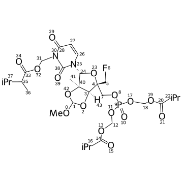 COC1O[C@@H]2[C@@](CF)(COP(=O)(OCOC(=O)C(C)C)OCOC(=O)C(C)C)O[C@@H](n3ccc(=O)n(COC(=O)C(C)C(C)C)c3=O)[C@]2(C)O1